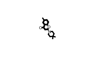 Cc1ccc2oc(N3CCC(C)(C)CC3)cc(=O)c2c1